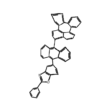 c1ccc(-c2nc3cc(-c4c5ccccc5c(-c5ccc6c7c(cccc57)-c5ccccc5-c5ccccc5-6)c5ccccc45)ccc3o2)cc1